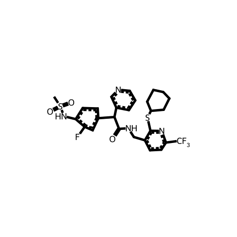 CS(=O)(=O)Nc1ccc(C(C(=O)NCc2ccc(C(F)(F)F)nc2SC2CCCCC2)c2cccnc2)cc1F